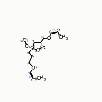 C/C=C\OCCC[Si](CCCO/C=C\C)(OCC)OCC